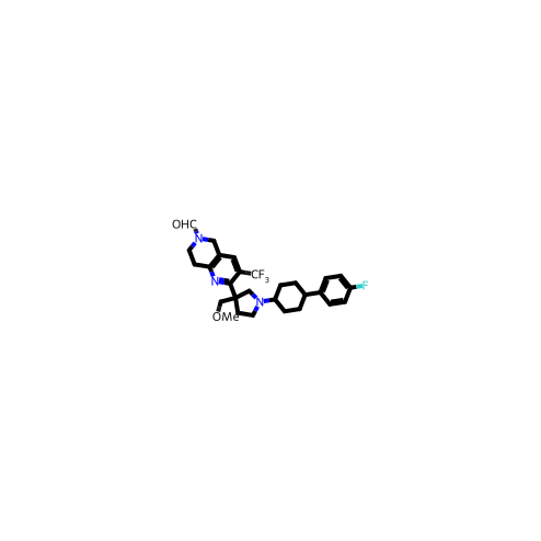 COCC1(c2nc3c(cc2C(F)(F)F)CN(C=O)CC3)CCN(C2CCC(c3ccc(F)cc3)CC2)C1